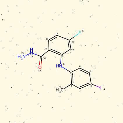 Cc1cc(I)ccc1Nc1cc(F)ccc1C(=O)NN